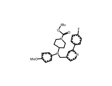 COc1ccc(N(Cc2ccnc(-c3ccc(F)cc3)c2)C2CCN(C(=O)OC(C)(C)C)CC2)cc1